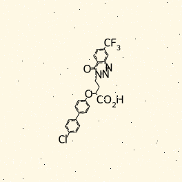 O=C(O)C(CCn1nnc2cc(C(F)(F)F)ccc2c1=O)Oc1ccc(-c2ccc(Cl)cc2)cc1